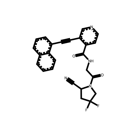 N#CC1CC(F)(F)CN1C(=O)CNC(=O)c1ccncc1C#Cc1cccc2ccccc12